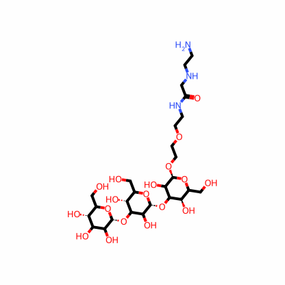 NCCNCC(=O)NCCOCCO[C@H]1OC(CO)[C@@H](O)C(O[C@H]2OC(CO)[C@@H](O)C(O[C@H]3OC(CO)[C@@H](O)C(O)C3O)C2O)C1O